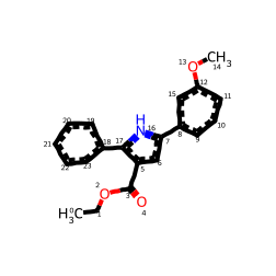 CCOC(=O)c1cc(-c2cccc(OC)c2)[nH]c1-c1ccccc1